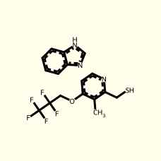 Cc1c(OCC(F)(F)C(F)(F)F)ccnc1CS.c1ccc2[nH]cnc2c1